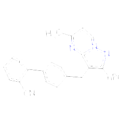 CCCc1nn2ccc(C)nc2c1Cc1ccc(-c2ccccc2C#N)cc1